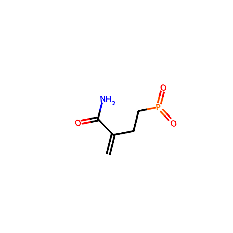 C=C(CCP(=O)=O)C(N)=O